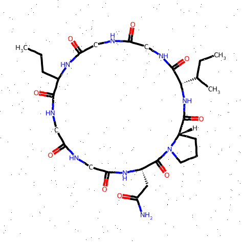 CCCC1NC(=O)CNC(=O)CNC(=O)[C@H](C(C)CC)NC(=O)[C@@H]2CCCN2C(=O)[C@H](CC(N)=O)NC(=O)CNC(=O)CNC1=O